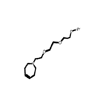 CCCOCCOCCOCCN1CCC=CCC1